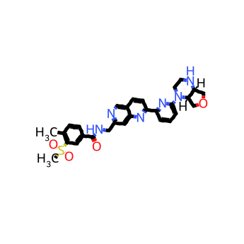 Cc1ccc(C(=O)NCc2cc3nc(-c4cccc(N5CCN[C@H]6COC[C@H]65)n4)ccc3cn2)cc1S(C)(=O)=O